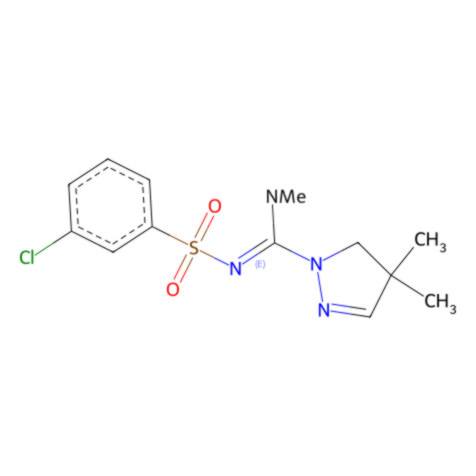 CN/C(=N\S(=O)(=O)c1cccc(Cl)c1)N1CC(C)(C)C=N1